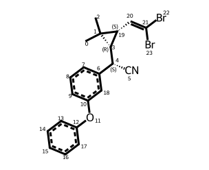 CC1(C)[C@@H]([C@H](C#N)c2cccc(Oc3ccccc3)c2)[C@H]1C=C(Br)Br